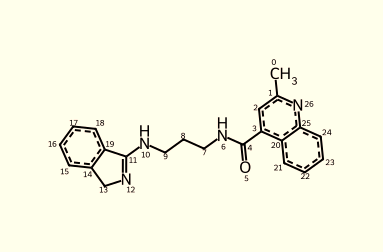 Cc1cc(C(=O)NCCCNC2=NCc3ccccc32)c2ccccc2n1